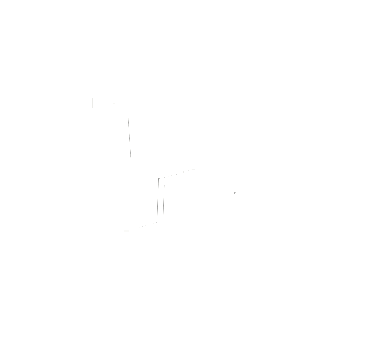 O=Cc1ccc(F)c(CCO)c1